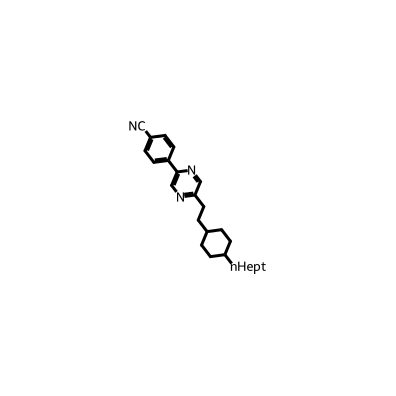 CCCCCCCC1CCC(CCc2cnc(-c3ccc(C#N)cc3)cn2)CC1